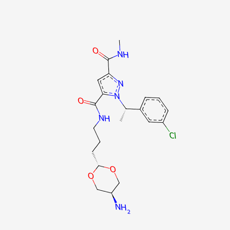 CNC(=O)c1cc(C(=O)NCCC[C@H]2OC[C@H](N)CO2)n([C@@H](C)c2cccc(Cl)c2)n1